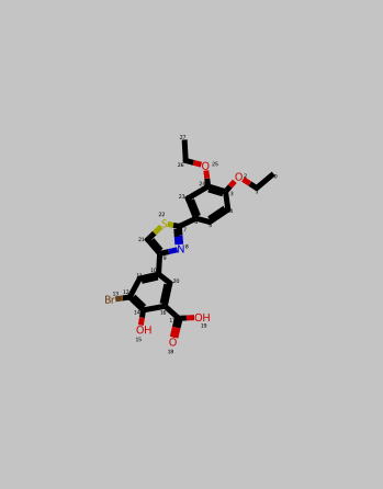 CCOc1ccc(-c2nc(-c3cc(Br)c(O)c(C(=O)O)c3)cs2)cc1OCC